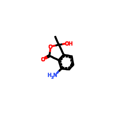 CC1(O)OC(=O)c2c(N)cccc21